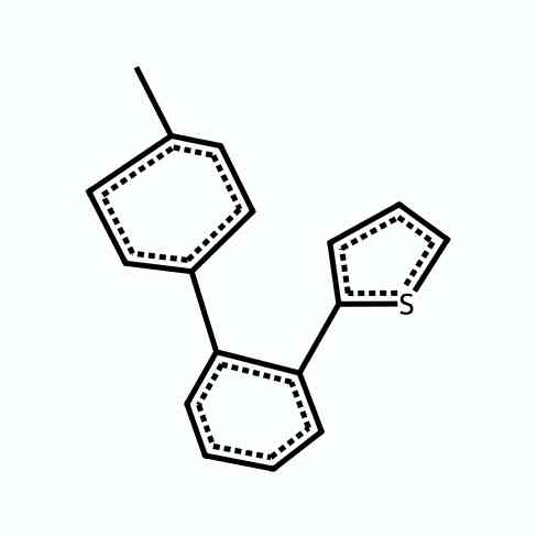 Cc1ccc(-c2ccccc2-c2cccs2)cc1